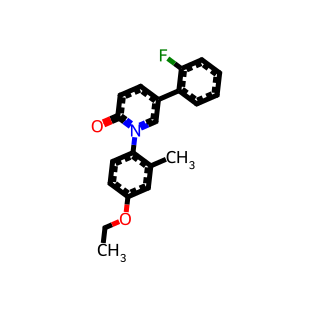 CCOc1ccc(-n2cc(-c3ccccc3F)ccc2=O)c(C)c1